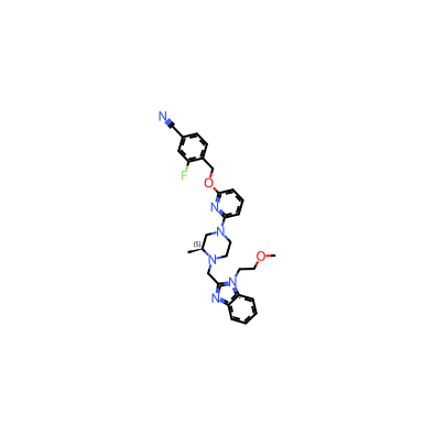 COCCn1c(CN2CCN(c3cccc(OCc4ccc(C#N)cc4F)n3)C[C@@H]2C)nc2ccccc21